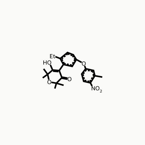 CCc1ccc(Oc2ccc([N+](=O)[O-])c(C)c2)cc1C1=C(O)C(C)(C)OC(C)(C)C1=O